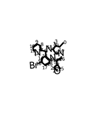 CC[C@H](C)C1N=C(c2ccccn2)c2cc(Br)ccc2-n2c(C3COC3)cnc21